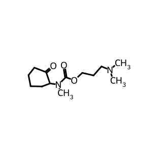 CN(C)CCCOC(=O)N(C)C1CCCCC1=O